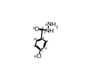 NNC(=O)c1[c]cc(Cl)cc1